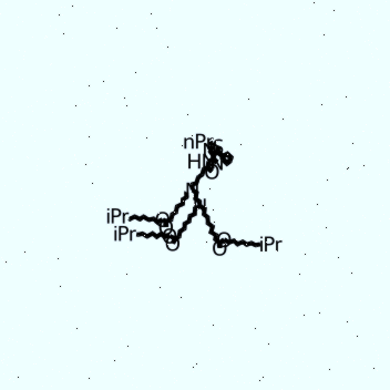 CCCc1nc2c(NC(=O)CCCCCN(CCCCCCCCC(=O)OCCCCCCCC(C)C)CCCN(CCCCCCCCC(=O)OCCCCCCCC(C)C)CCCCCCCCC(=O)OCCCCCCCC(C)C)nc3ccccc3c2s1